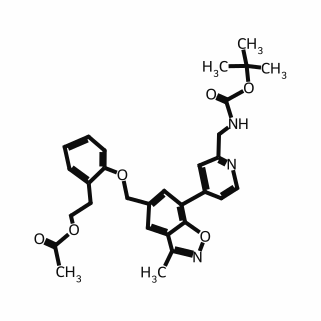 CC(=O)OCCc1ccccc1OCc1cc(-c2ccnc(CNC(=O)OC(C)(C)C)c2)c2onc(C)c2c1